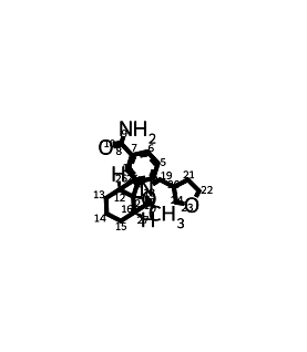 CO[C@]1(c2cccc(C(N)=O)c2)[C@@H]2CCC[C@H]1CN(CC1CCOC1)C2